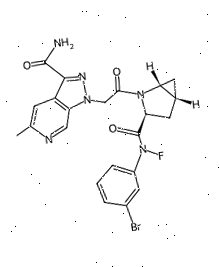 Cc1cc2c(C(N)=O)nn(CC(=O)N3[C@@H]4C[C@@H]4C[C@H]3C(=O)N(F)c3cccc(Br)c3)c2cn1